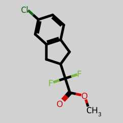 COC(=O)C(F)(F)C1Cc2ccc(Cl)cc2C1